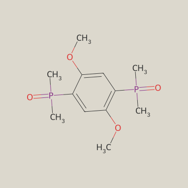 COc1cc(P(C)(C)=O)c(OC)cc1P(C)(C)=O